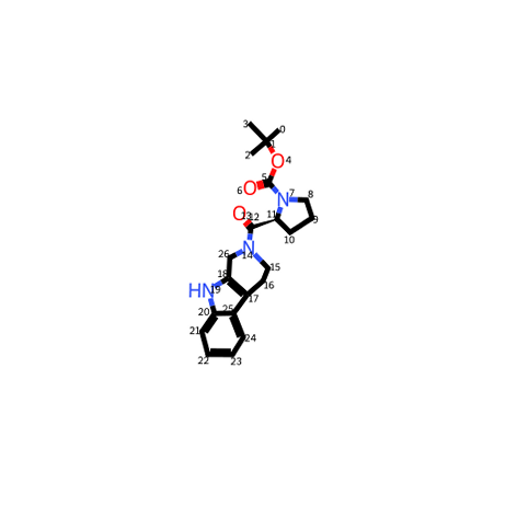 CC(C)(C)OC(=O)N1CCC[C@H]1C(=O)N1CCc2c([nH]c3ccccc23)C1